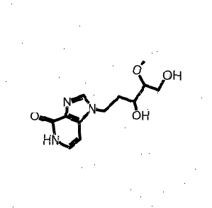 COC(CO)C(O)CCn1cnc2c(=O)[nH]ccc21